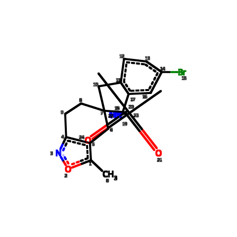 Cc1onc2c1CC1(CC2)Cc2ccc(Br)cc2C12NC(=O)NC2=O